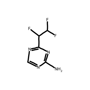 Nc1ncnc(C(F)C(F)F)n1